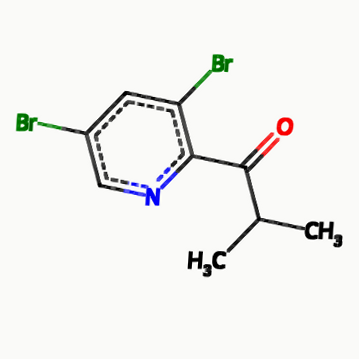 CC(C)C(=O)c1ncc(Br)cc1Br